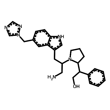 NCC(Cc1c[nH]c2ccc(Cn3cncn3)cc12)N1CCCC1C(CO)c1ccccc1